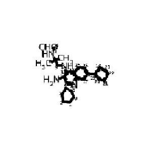 C1CCCCC1.CC(C)(CNc1c(N)cnc2cc(-c3ccccc3)ccc12)NC=O